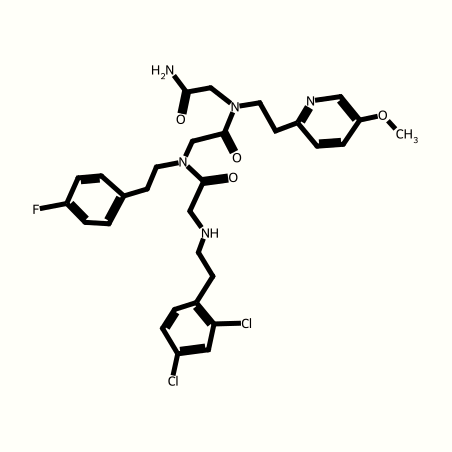 COc1ccc(CCN(CC(N)=O)C(=O)CN(CCc2ccc(F)cc2)C(=O)CNCCc2ccc(Cl)cc2Cl)nc1